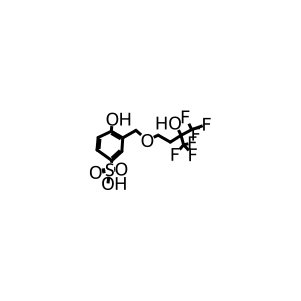 O=S(=O)(O)c1ccc(O)c(COCCC(O)(C(F)(F)F)C(F)(F)F)c1